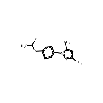 Cc1cc(N)n(-c2ccc(OC(C)F)cc2)n1